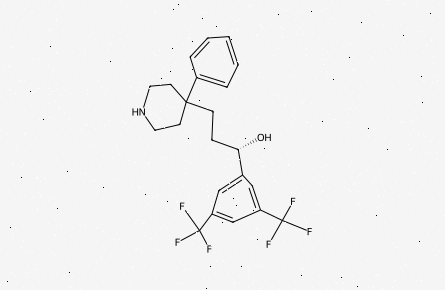 O[C@@H](CCC1(c2ccccc2)CCNCC1)c1cc(C(F)(F)F)cc(C(F)(F)F)c1